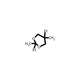 [CH2]C1(CC)COC(C)(CC)OC1